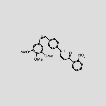 COc1cc(/C=C\c2ccc(N/C=C\C(=O)c3ccccc3[N+](=O)[O-])cc2)cc(OC)c1OC